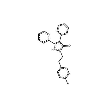 O=c1c(-c2ccccc2)c(-c2ccccc2)[nH]n1CCc1ccc(Cl)cc1